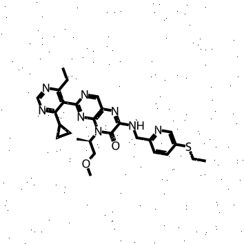 CCSc1ccc(CNc2nc3cnc(-c4c(CC)ncnc4C4CC4)nc3n([C@H](C)COC)c2=O)nc1